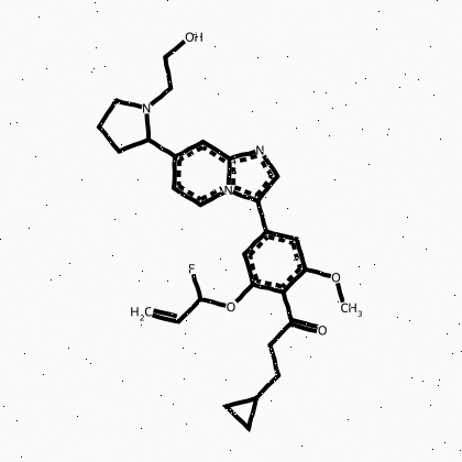 C=CC(F)Oc1cc(-c2cnc3cc(C4CCCN4CCO)ccn23)cc(OC)c1C(=O)CCC1CC1